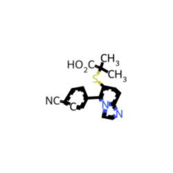 CC(C)(Sc1ccc2nccn2c1-c1ccc(C#N)cc1)C(=O)O